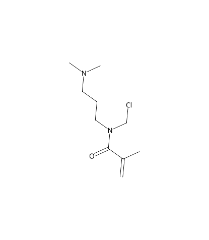 C=C(C)C(=O)N(CCl)CCCN(C)C